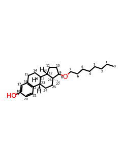 CCCCCCCCOC1CC[C@H]2[C@@H]3CCc4cc(O)ccc4[C@H]3CC[C@]12C